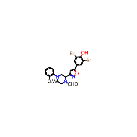 COc1ccccc1N1CCN(C=O)C(c2cc(-c3cc(Br)c(O)c(Br)c3)on2)C1